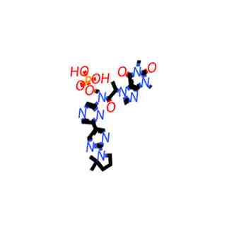 CC(C(=O)N(COP(=O)(O)O)c1cncc(-c2cnc(N3CCCC3(C)C)nc2)n1)n1cnc2c1c(=O)n(C)c(=O)n2C